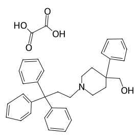 O=C(O)C(=O)O.OCC1(c2ccccc2)CCN(CCC(c2ccccc2)(c2ccccc2)c2ccccc2)CC1